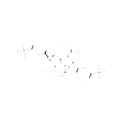 CC(C)[O][Ti]([O]C(C)C)([C](O)(O)C(C)(C)C(=O)CC(=O)C(C)(C)C)[C](O)(O)C(C)(C)C(=O)CC(=O)C(C)(C)C